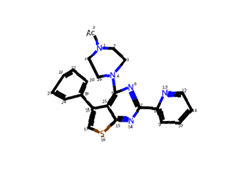 CC(=O)N1CCN(c2nc(-c3ccccn3)nc3scc(-c4ccccc4)c23)CC1